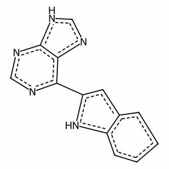 c1ccc2[nH]c(-c3ncnc4[nH]cnc34)cc2c1